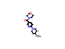 CC(C)(C)C1CCN(c2ccc(C(=O)N3CCOCC3)cn2)CC1